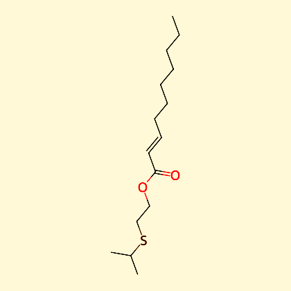 CCCCCCCC=CC(=O)OCCSC(C)C